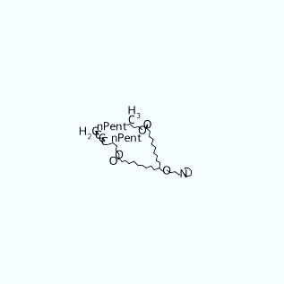 C=C=C=C=CC(CCCCC)CCOC(=O)CCCCCCCCCC(CCCCCCCCCC(=O)OCCC(C)CCCCC)COCCCN1CCCCC1